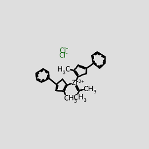 CC1=[C]([Zr+2]([C]2=C(C)C=C(c3ccccc3)C2)=[C](C)C)CC(c2ccccc2)=C1.[Cl-].[Cl-]